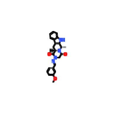 COc1cccc(/C=N/N2CC(=O)N3[C@@H](Cc4c([nH]c5ccccc45)[C@@H]3C)C2=O)c1